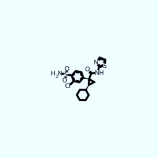 NS(=O)(=O)c1ccc([C@@]2(C(=O)Nc3nccs3)C[C@H]2C2CCCCC2)cc1Cl